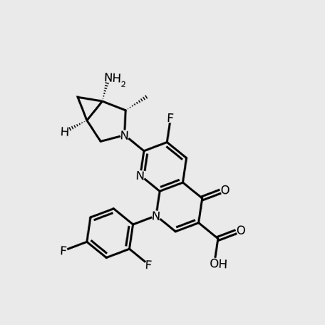 C[C@@H]1N(c2nc3c(cc2F)c(=O)c(C(=O)O)cn3-c2ccc(F)cc2F)C[C@H]2C[C@]21N